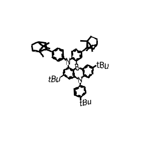 CC(C)(C)c1ccc(N2c3ccc(C(C)(C)C)cc3B3c4cc(C5CC6CCC5(C)C6(C)C)ccc4N(c4ccc(C5CC6CCC5(C)C6(C)C)cc4)c4cc(C(C)(C)C)cc2c43)cc1